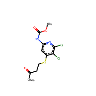 COC(=O)CCSc1cc(NC(=O)OC(C)(C)C)nc(Cl)c1Cl